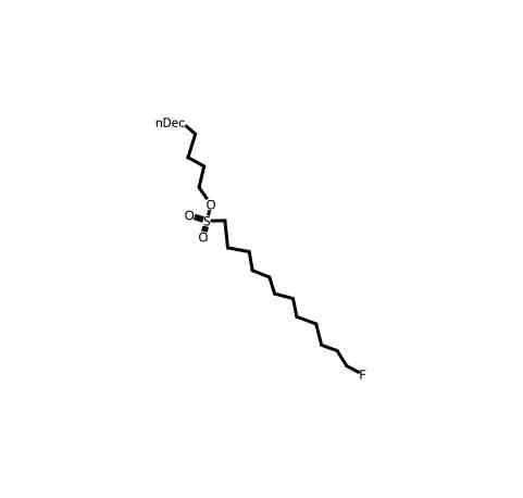 CCCCCCCCCCCCCCOS(=O)(=O)CCCCCCCCCCCCF